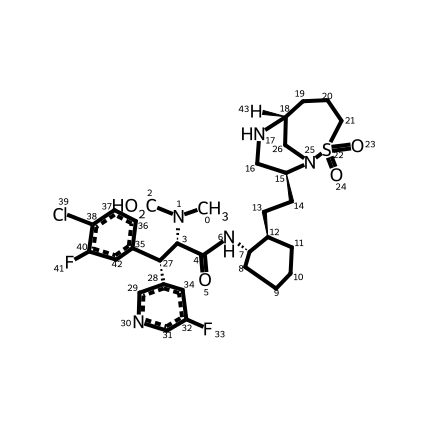 CN(C(=O)O)[C@H](C(=O)N[C@H]1CCCC[C@@H]1CC[C@H]1CN[C@@H]2CCCS(=O)(=O)N1C2)[C@H](c1cncc(F)c1)c1ccc(Cl)c(F)c1